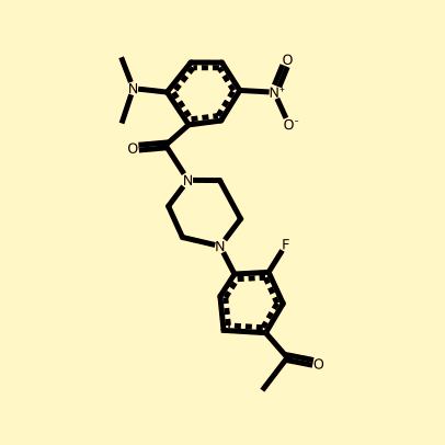 CC(=O)c1ccc(N2CCN(C(=O)c3cc([N+](=O)[O-])ccc3N(C)C)CC2)c(F)c1